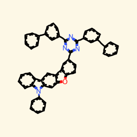 c1ccc(-c2cccc(-c3nc(-c4cccc(-c5ccccc5)c4)nc(-c4ccc5oc6cc7c(cc6c5c4)c4ccccc4n7-c4ccccc4)n3)c2)cc1